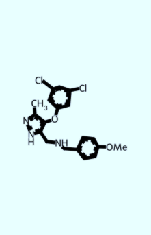 COc1ccc(CNCc2[nH]nc(C)c2Oc2cc(Cl)cc(Cl)c2)cc1